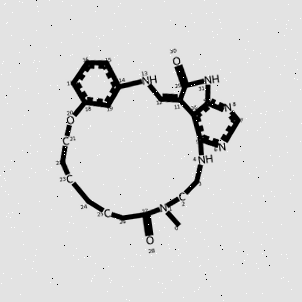 CN1CCNc2ncnc3c2/C(=C/Nc2cccc(c2)OCCCCCCC1=O)C(=O)N3